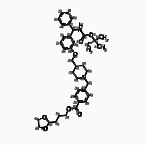 CC(C)(C)OC(=O)NC(c1ccccc1)c1cccc(OCC2CCN(Cc3ccc(C(=O)OCCCC4OCCO4)cc3)CC2)c1